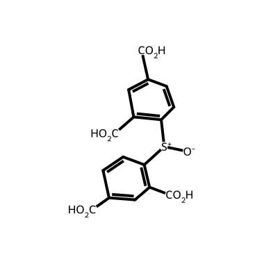 O=C(O)c1ccc([S+]([O-])c2ccc(C(=O)O)cc2C(=O)O)c(C(=O)O)c1